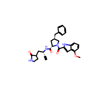 C#C[C@H](CC1CCNC1=O)NC(=O)[C@@H]1C[C@@H](Cc2ccccc2)CN1C(=O)c1cc2c(OC)cccc2[nH]1